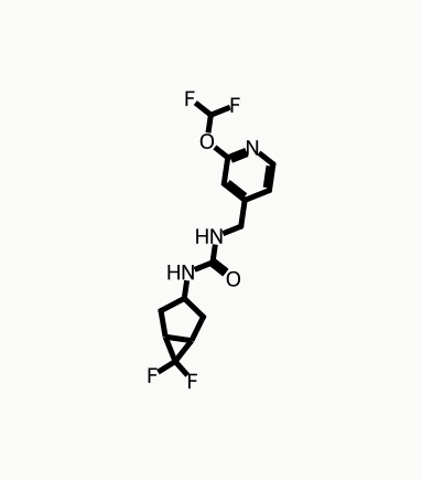 O=C(NCc1ccnc(OC(F)F)c1)NC1CC2C(C1)C2(F)F